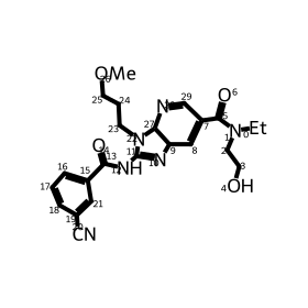 CCN(CCO)C(=O)C1=CC2N=C(NC(=O)c3cccc(C#N)c3)N(CCCOC)C2N=C1